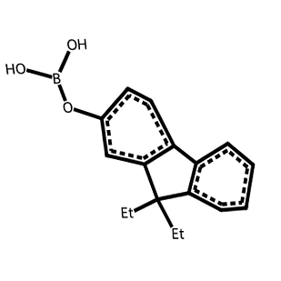 CCC1(CC)c2ccccc2-c2ccc(OB(O)O)cc21